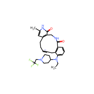 CCN(c1cccc2c1C/C=C/CCc1cc(C)[nH]c(=O)c1CNC2=O)C1CCN(CC(F)(F)F)CC1